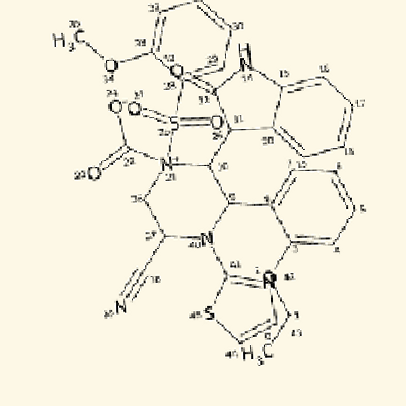 CCOc1ccccc1C1C(C2C(=O)Nc3ccccc32)[N+](C(=O)[O-])(S(=O)(=O)c2ccccc2OC)CC(C#N)N1c1nccs1